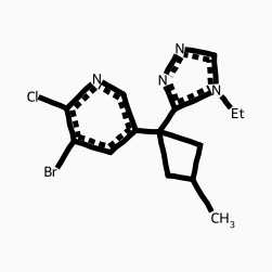 CCn1cnnc1C1(c2cnc(Cl)c(Br)c2)CC(C)C1